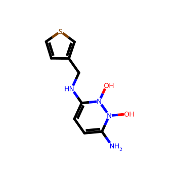 NC1=CC=C(NCc2ccsc2)N(O)N1O